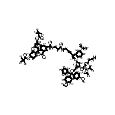 COc1ccc(C(OCC2OC(n3cc(C#CCNC(=O)CCNC(=O)c4ccc5c(c4)C(=O)OC54c5ccc(OC(=O)C(C)(C)C)cc5Oc5cc(OC(=O)C(C)(C)C)ccc54)c4cc([N+](=O)[O-])ccc43)CC2OP(OCCC#N)N(C(C)C)C(C)C)(c2ccccc2)c2ccc(OC)cc2)cc1